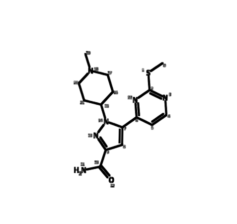 CSc1nccc(-c2cc(C(N)=O)nn2C2CCN(C)CC2)n1